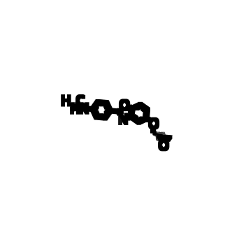 CNc1ccc(-c2nc3cc(OC[C@@H]4CO4)ccc3o2)cc1